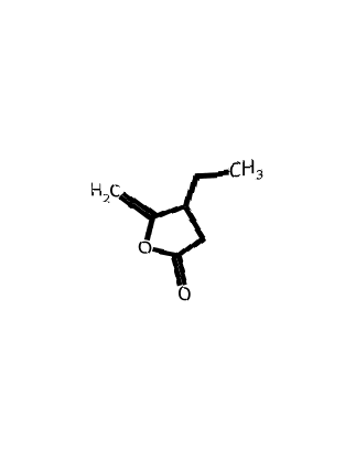 C=C1OC(=O)CC1CC